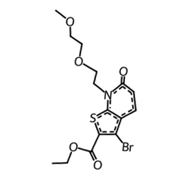 CCOC(=O)c1sc2c(ccc(=O)n2CCOCCOC)c1Br